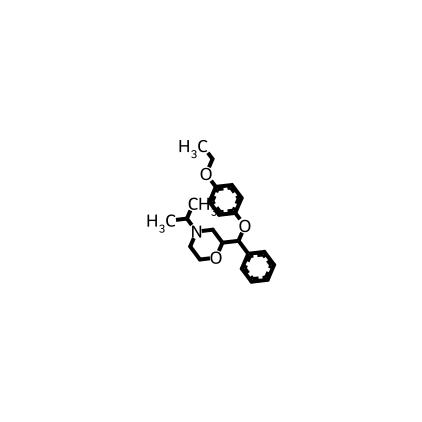 CCOc1ccc(OC(c2ccccc2)C2CN(C(C)C)CCO2)cc1